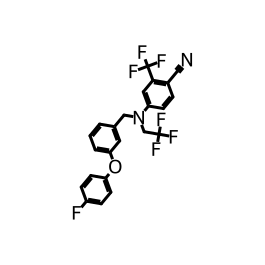 N#Cc1ccc(N(Cc2cccc(Oc3ccc(F)cc3)c2)CC(F)(F)F)cc1C(F)(F)F